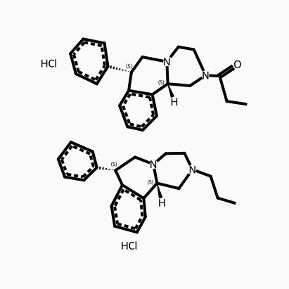 CCC(=O)N1CCN2C[C@@H](c3ccccc3)c3ccccc3[C@H]2C1.CCCN1CCN2C[C@@H](c3ccccc3)c3ccccc3[C@H]2C1.Cl.Cl